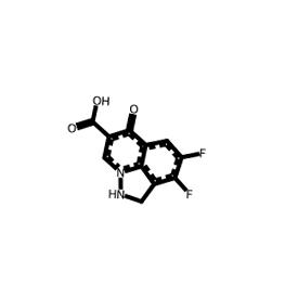 O=C(O)c1cn2c3c(c(F)c(F)cc3c1=O)CN2